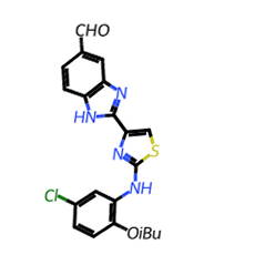 CC(C)COc1ccc(Cl)cc1Nc1nc(-c2nc3cc(C=O)ccc3[nH]2)cs1